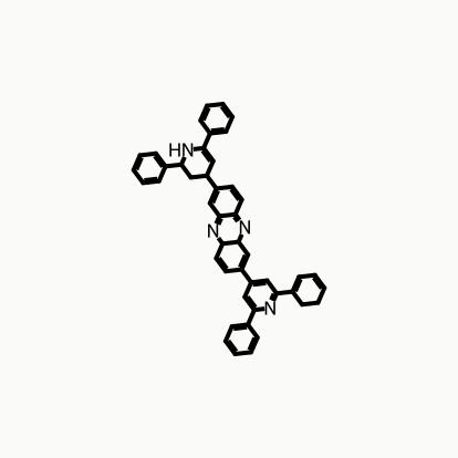 C1=CCCC(c2cc(C3=CC4N=c5ccc(C6C=C(c7ccccc7)NC(c7ccccc7)C6)cc5=NC4C=C3)cc(-c3ccccc3)n2)=C1